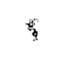 CN(C)c1ccc(Cn2cnc3c(=O)[nH]c(N)nc32)cc1